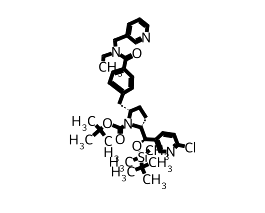 CCN(Cc1cccnc1)C(=O)c1ccc(C[C@@H]2CC[C@H]([C@H](O[Si](C)(C)C(C)(C)C)c3ccc(Cl)nc3)N2C(=O)OC(C)(C)C)cc1